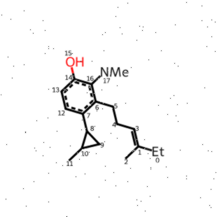 CC/C(C)=C/CCc1c(C2CC2C)ccc(O)c1NC